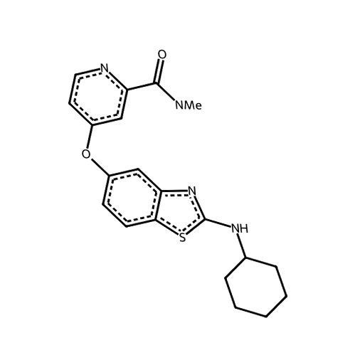 CNC(=O)c1cc(Oc2ccc3sc(NC4CCCCC4)nc3c2)ccn1